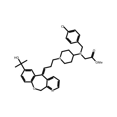 COC(=O)CN(Cc1ccc(Cl)cc1)C1CCN(CCC=C2c3cc(C(C)(C)O)ccc3OCc3ncccc32)CC1